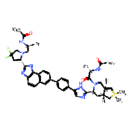 COC(=O)N[C@H](C(=O)N1C[C@H]2CS(C)(C)C[C@@H]2C[C@H]1c1ncc(-c2ccc(-c3ccc4c(ccc5nc([C@@H]6CC(F)(F)CN6C[C@@H](NC(=O)OC)C(C)C)[nH]c54)c3)cc2)[nH]1)C(C)C